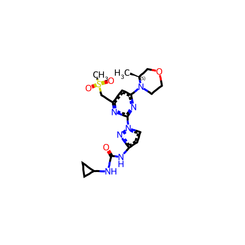 C[C@H]1COCCN1c1cc(CS(C)(=O)=O)nc(-n2ccc(NC(=O)NC3CC3)n2)n1